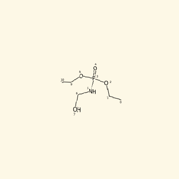 CCOP(=O)(NCO)OCC